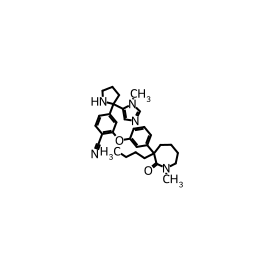 CCCCC1(c2cccc(Oc3cc(C4(c5cncn5C)CCCN4)ccc3C#N)c2)CCCCN(C)C1=O